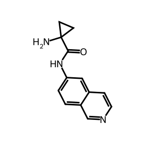 NC1(C(=O)Nc2ccc3cnccc3c2)CC1